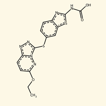 CCOc1ccc2nnc(Sc3ccc4nc(NC(=O)O)sc4c3)n2n1